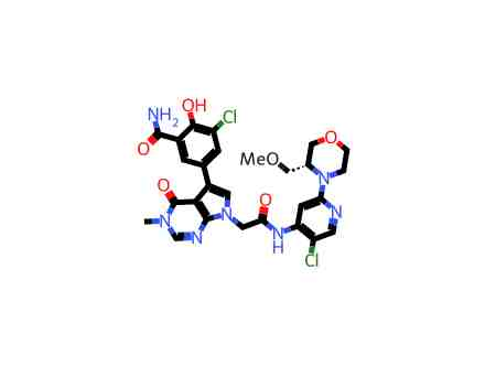 COC[C@@H]1COCCN1c1cc(NC(=O)Cn2cc(-c3cc(Cl)c(O)c(C(N)=O)c3)c3c(=O)n(C)cnc32)c(Cl)cn1